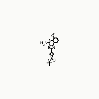 COc1cccc2c1nc(N)n1nc(C3CN(C(=O)OC(C)(C)C)C3)nc21